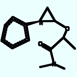 CC(OC1C[C@@H]1c1ccccc1)C(=O)N(C)C